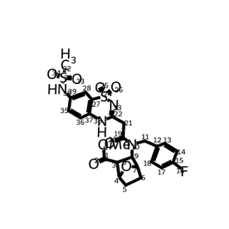 COC(=O)C1C2CCC(O2)C1N(Cc1ccc(F)cc1)C(=O)CC1=NS(=O)(=O)c2cc(NS(C)(=O)=O)ccc2N1